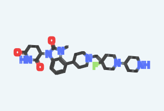 Cn1c(=O)n(C2CCC(=O)NC2=O)c2cccc(C3CCN(CC4(F)CCN(C5CCNCC5)CC4)CC3)c21